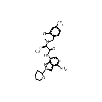 CN(Cc1ccc(C(F)(F)F)cc1Cl)C(=O)C(=O)Nc1cnc(N)c2cn(C3CCCCO3)nc12.[Cu]